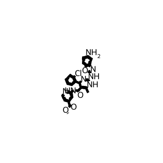 COC(=O)c1ccnc(NC(=O)C2=C(C)NC(Nc3nc4cc(N)ccc4o3)=NC2c2ccccc2Cl)c1